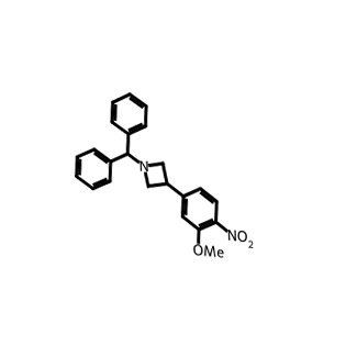 COc1cc(C2CN(C(c3ccccc3)c3ccccc3)C2)ccc1[N+](=O)[O-]